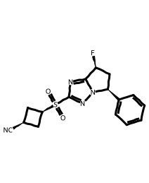 N#C[C@H]1C[C@@H](S(=O)(=O)c2nc3n(n2)[C@H](c2ccccc2)C[C@@H]3F)C1